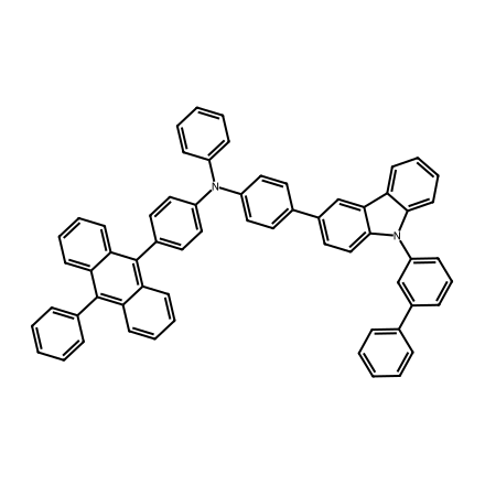 c1ccc(-c2cccc(-n3c4ccccc4c4cc(-c5ccc(N(c6ccccc6)c6ccc(-c7c8ccccc8c(-c8ccccc8)c8ccccc78)cc6)cc5)ccc43)c2)cc1